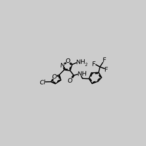 Nc1onc(-c2ccc(Cl)o2)c1C(=O)NCc1cccc(C(F)(F)F)c1